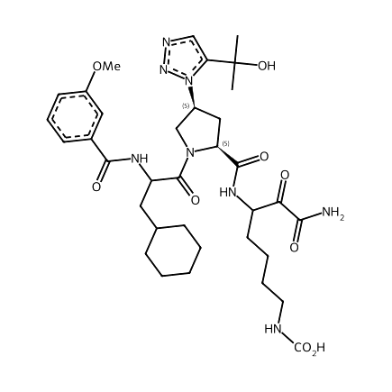 COc1cccc(C(=O)NC(CC2CCCCC2)C(=O)N2C[C@@H](n3nncc3C(C)(C)O)C[C@H]2C(=O)NC(CCCCNC(=O)O)C(=O)C(N)=O)c1